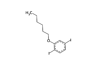 CCCCCCOc1cc(I)ccc1I